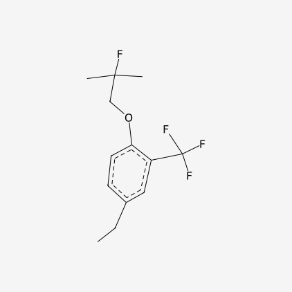 CCc1ccc(OCC(C)(C)F)c(C(F)(F)F)c1